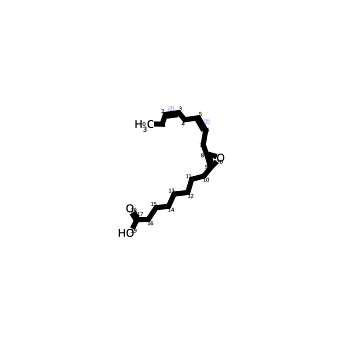 CC/C=C\C/C=C\CC1=C(CCCCCCCC(=O)O)O1